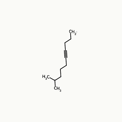 [CH2]CCC#CCCC[C](C)C